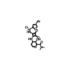 CC[C@@H](Nc1c(Nc2ccnc(C(=O)N(C)C)c2O)c(=O)c1=O)c1cc(C(C)C)co1